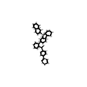 CC(c1ccc(C2=CCCC=C2)cc1)c1ccccc1-c1ccc2c3ccccc3n(-c3ccc4ccccc4c3)c2c1